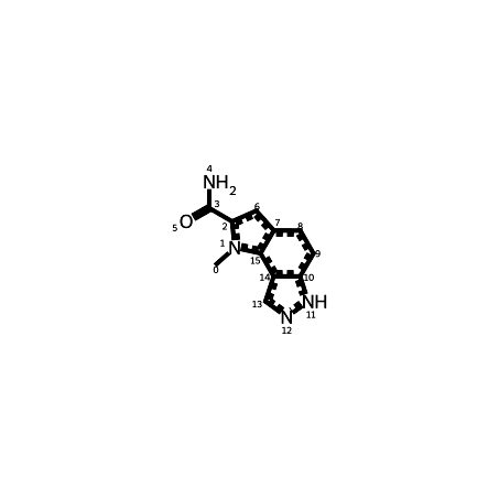 Cn1c(C(N)=O)cc2ccc3[nH]ncc3c21